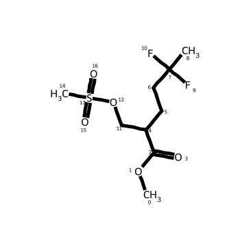 COC(=O)C(CCC(C)(F)F)COS(C)(=O)=O